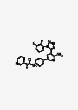 Nc1ncc(-c2ccc(NC(=O)Nc3cccnc3)cc2)cc1-c1nnnn1-c1cccc(F)c1F